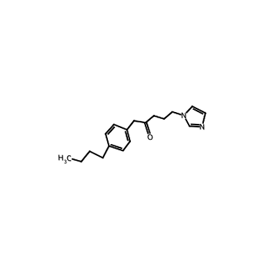 CCCCc1ccc(CC(=O)CCCn2ccnc2)cc1